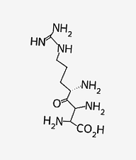 N=C(N)NCCC[C@H](N)C(=O)C(N)C(N)C(=O)O